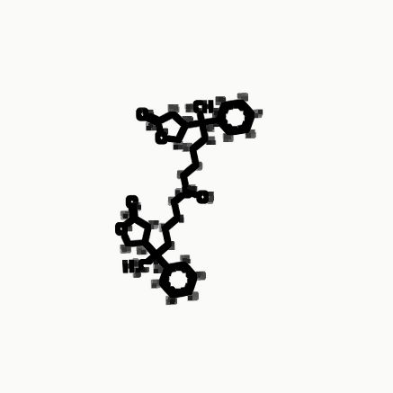 CC(CCCC[S+]([O-])CCCCC(C)(c1ccccc1)C1COC(=O)C1)(c1ccccc1)C1COC(=O)C1